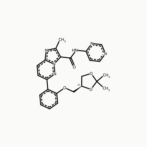 Cc1nc2ccc(-c3ccccc3OC[C@H]3COC(C)(C)O3)nn2c1C(=O)Nc1ccncn1